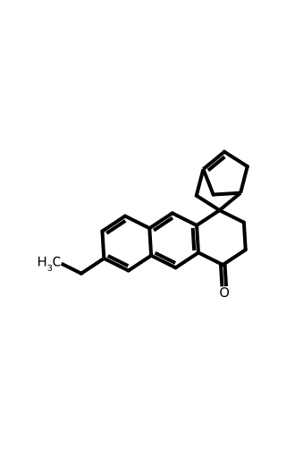 CCc1ccc2cc3c(cc2c1)C(=O)CCC31CC2=CCC1C2